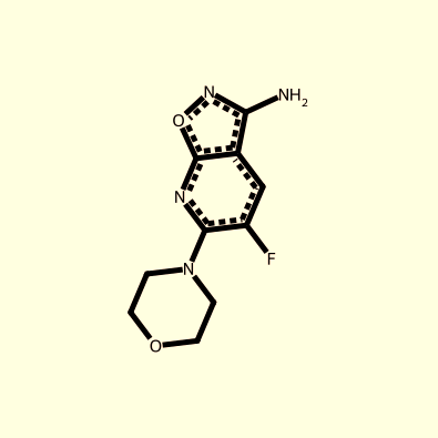 Nc1noc2nc(N3CCOCC3)c(F)cc12